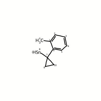 Cc1ccccc1[C]1([SnH])CC1